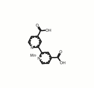 O=C(O)c1ccnc(-c2cc(C(=O)O)ccn2)c1.[Mn]